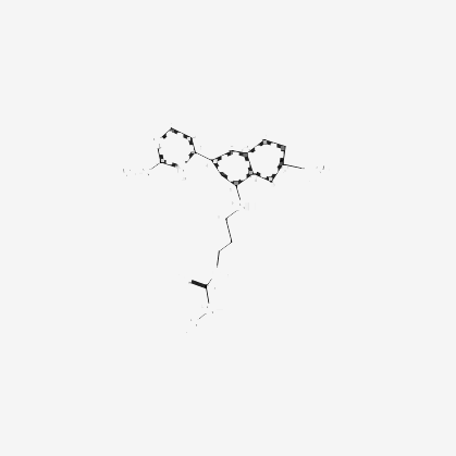 CNc1nccc(-c2cc(NCCCOC(=S)NN)c3cc(OC)ccc3c2)n1